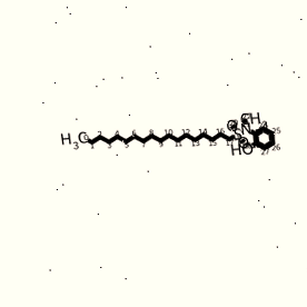 CCCCCCCCCCCCCCCCCCS(=O)(=O)N(C)c1ccccc1O